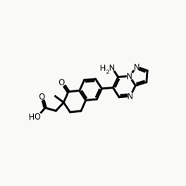 CC1(CC(=O)O)CCc2cc(-c3cnc4ccnn4c3N)ccc2C1=O